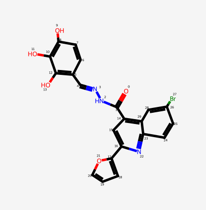 O=C(N/N=C/c1ccc(O)c(O)c1O)c1cc(-c2ccco2)nc2ccc(Br)cc12